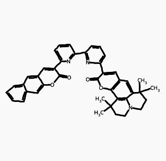 CC1(C)CCN2CCC(C)(C)c3c2c1cc1cc(-c2cccc(-c4cccc(-c5cc6cc7ccccc7cc6oc5=O)n4)n2)c(=O)oc31